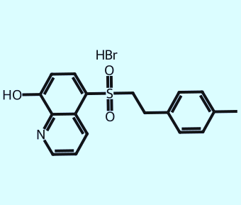 Br.Cc1ccc(CCS(=O)(=O)c2ccc(O)c3ncccc23)cc1